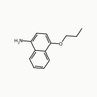 CCCOc1ccc(N)c2ccccc12